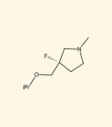 CC(C)OC[C@]1(F)CCN(C)C1